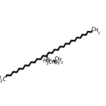 CCCCCCCCCCCCCCCCCC(Br)CCCCCCCCCCCCCC.CNC